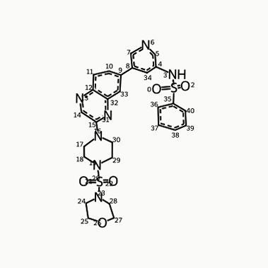 O=S(=O)(Nc1cncc(-c2ccc3ncc(N4CCN(S(=O)(=O)N5CCOCC5)CC4)nc3c2)c1)c1ccccc1